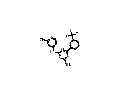 Nc1nc(Nc2ccnc(Cl)c2)nc(-c2cccc(C(F)(F)F)n2)n1